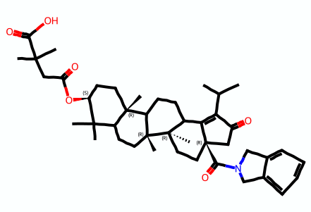 CC(C)C1=C2C3CCC4[C@@]5(C)CC[C@H](OC(=O)CC(C)(C)C(=O)O)C(C)(C)C5CC[C@@]4(C)[C@]3(C)CC[C@@]2(C(=O)N2Cc3ccccc3C2)CC1=O